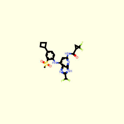 CS(=O)(=O)c1cc(C2CCC2)ccc1Nc1cc(NC(=O)C2CC2(F)F)nc2[nH]c(C(F)F)nc12